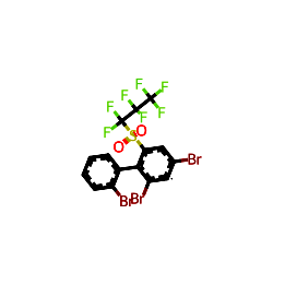 O=S(=O)(c1cc(Br)[c]c(Br)c1-c1ccccc1Br)C(F)(F)C(F)(F)C(F)(F)F